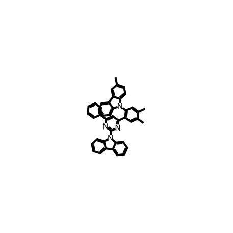 Cc1ccc2c(c1)c1ccccc1n2-c1cc(C)c(C)cc1-c1cc(-c2ccccc2)nc(-n2c3ccccc3c3ccccc32)n1